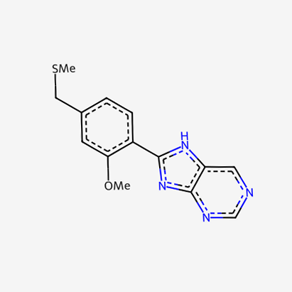 COc1cc(CSC)ccc1-c1nc2ncncc2[nH]1